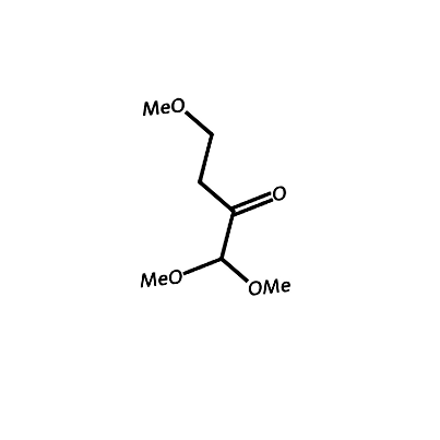 COCCC(=O)C(OC)OC